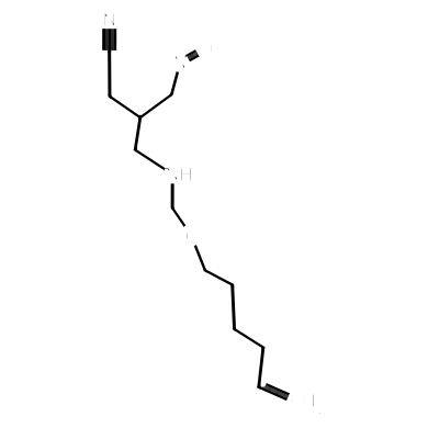 C=CCCCCCCNCC(CC#N)CN=O